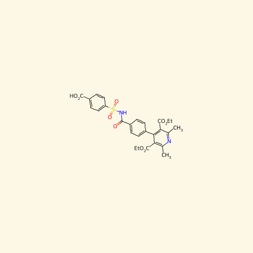 CCOC(=O)c1c(C)nc(C)c(C(=O)OCC)c1-c1ccc(C(=O)NS(=O)(=O)c2ccc(C(=O)O)cc2)cc1